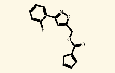 O=C(OCc1cc(-c2ccccc2F)no1)C1=CC=CC1